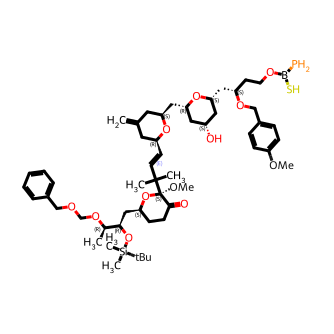 C=C1C[C@@H](C[C@H]2C[C@@H](O)C[C@@H](C[C@H](CCOB(P)S)OCc3ccc(OC)cc3)O2)O[C@@H](/C=C/C(C)(C)[C@]2(OC)O[C@H](C[C@@H](O[Si](C)(C)C(C)(C)C)[C@@H](C)OCOCc3ccccc3)CCC2=O)C1